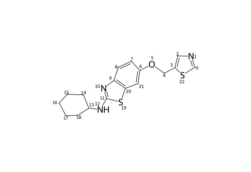 c1ncc(COc2ccc3nc(NC4CCCCC4)sc3c2)s1